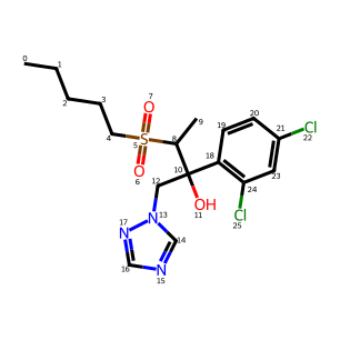 CCCCCS(=O)(=O)C(C)C(O)(Cn1cncn1)c1ccc(Cl)cc1Cl